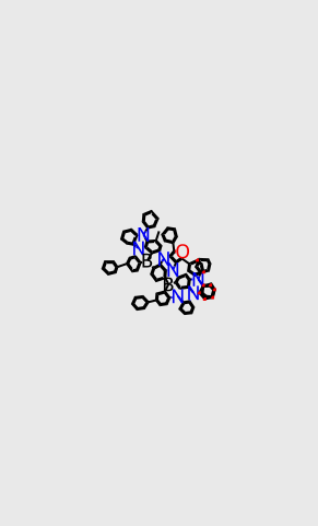 Cc1cc2c3c4c1N(c1ccccc1)c1ccccc1N4c1cc(-c4ccccc4)ccc1B3c1ccc3c4c1N2c1c(-c2ccccc2)oc(-c2ccccc2)c1N4c1cc(N(c2ccccc2)c2ccccc2)c2c4c1B3c1cc(-c3ccccc3)ccc1N4c1ccccc1N2c1ccccc1